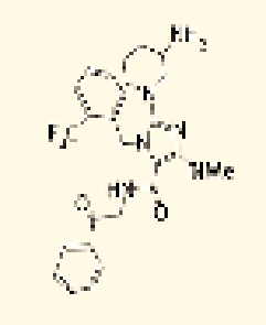 CNc1nc(N2CCCC(N)C2)n(Cc2ccccc2C(F)(F)F)c1C(=O)NCC(=O)c1ccccc1